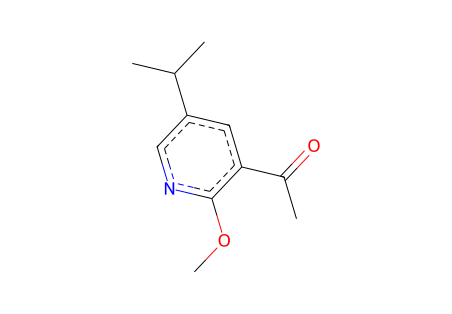 COc1ncc(C(C)C)cc1C(C)=O